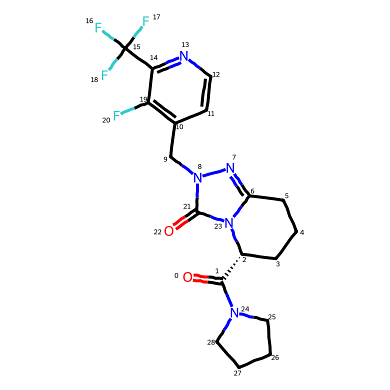 O=C([C@H]1CCCc2nn(Cc3ccnc(C(F)(F)F)c3F)c(=O)n21)N1CCCC1